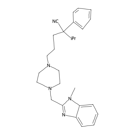 CC(C)C(C#N)(CCCN1CCN(Cc2nc3ccccc3n2C)CC1)c1ccccc1